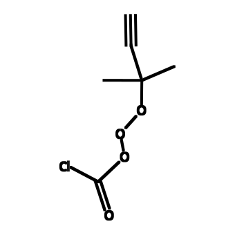 C#CC(C)(C)OOOC(=O)Cl